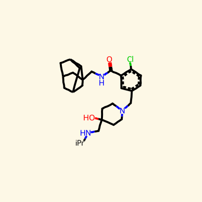 CC(C)NCC1(O)CCN(Cc2ccc(Cl)c(C(=O)NCC34CC5CC(CC(C5)C3)C4)c2)CC1